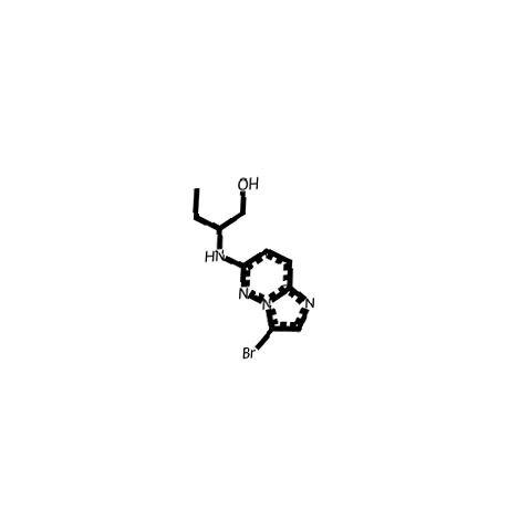 CCC(CO)Nc1ccc2ncc(Br)n2n1